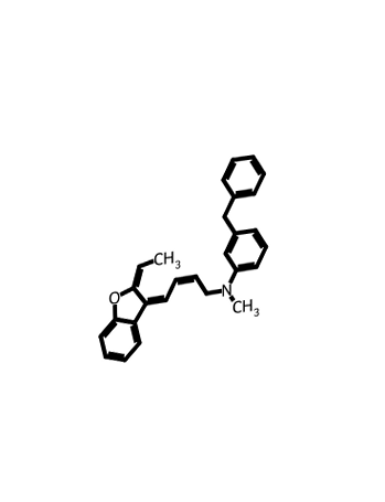 C/C=c1/oc2ccccc2/c1=C/C=C\CN(C)c1cccc(Cc2ccccc2)c1